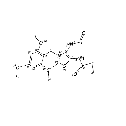 CCC(=O)NC1=C(NC=O)N(Cc2ccc(OC)cc2OC)C(SC)S1